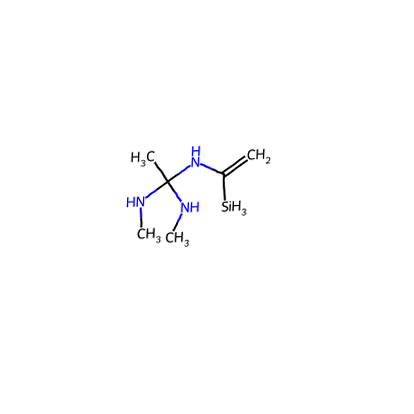 C=C([SiH3])NC(C)(NC)NC